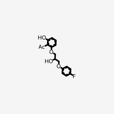 CC(=O)c1c(O)cccc1OCC(O)COc1ccc(F)cc1